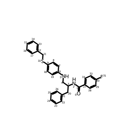 O=C(NC(CNc1ccc(SCc2ccccc2)cc1)Cc1ccccc1)c1ccc(F)cc1